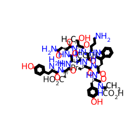 CC(C)C[C@H](NC(=O)[C@H](CCCCN)NC(=O)[C@@H](NC(=O)[C@H](CC(N)=O)NC(=O)[C@H](CCC(=O)O)NC(=O)[C@H](CC(=O)O)NC(=O)[C@@H](N)Cc1ccc(O)cc1)[C@@H](C)O)C(=O)N[C@@H](Cc1c[nH]c2ccccc12)C(=O)N[C@@H](Cc1ccc(O)cc1)C(=O)N[C@@H](C)C(=O)O